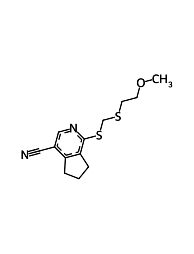 COCCSCSc1ncc(C#N)c2c1CCC2